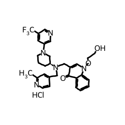 Cc1cc(CN(Cc2cn(OCCO)c3ccccc3c2=O)[C@H]2CCCN(c3cncc(C(F)(F)F)c3)C2)ccn1.Cl